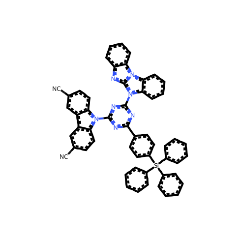 N#Cc1ccc2c(c1)c1cc(C#N)ccc1n2-c1nc(-c2ccc([Si](c3ccccc3)(c3ccccc3)c3ccccc3)cc2)nc(-n2c3ccccc3n3c4ccccc4nc23)n1